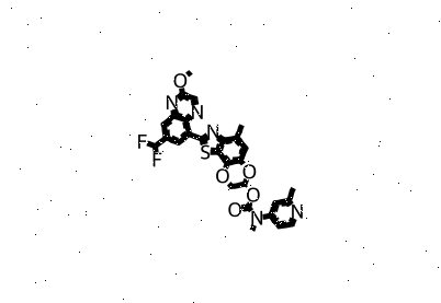 COc1cnc2c(-c3nc4c(C)cc5c(c4s3)OC[C@@H](OC(=O)N(C)c3ccnc(C)c3)O5)cc(C(F)F)cc2n1